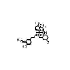 COc1cc(CCCC2CC3CC(=O)CC[C@]3(C)[C@@H]3CC[C@]4(C)C(O)CC[C@H]4[C@H]23)ccc1O